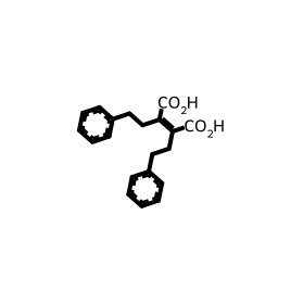 O=C(O)C(CCc1ccccc1)=C(CCc1ccccc1)C(=O)O